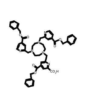 O=C(OCc1ccccc1)c1ccnc(CN2CCN(Cc3cc(C(=O)OCc4ccccc4)ccn3)CCN(Cc3cc(C(=O)OCc4ccccc4)cc(C(=O)O)n3)CC2)c1